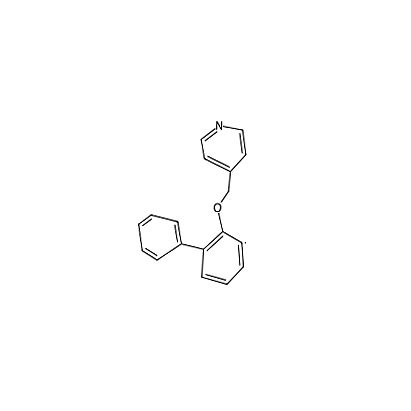 [c]1cccc(-c2ccccc2)c1OCc1ccncc1